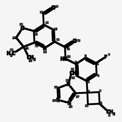 CC1CC(c2cc(F)cc(NC(=O)c3cc(C=O)c4c(n3)C(C)(C)CO4)c2)(c2nncn2C)C1